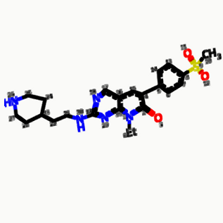 CCn1c(=O)c(-c2ccc(S(C)(=O)=O)cc2)cc2cnc(NCCC3CCNCC3)nc21